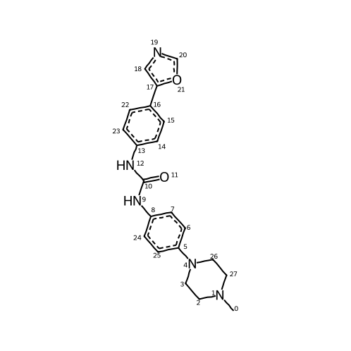 CN1CCN(c2ccc(NC(=O)Nc3ccc(-c4cnco4)cc3)cc2)CC1